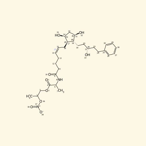 CC(COC(=O)C(C)NC(=O)CCC/C=C\C[C@@H]1[C@@H](CC[C@@H](O)CCc2ccccc2)[C@H](O)C[C@@H]1O)O[N+](=O)[O-]